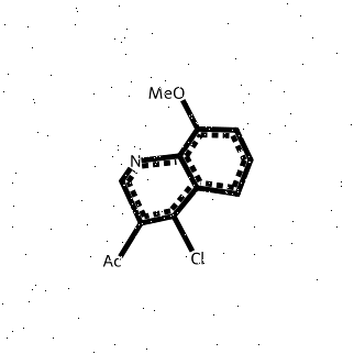 COc1cccc2c(Cl)c(C(C)=O)cnc12